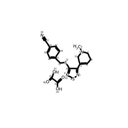 CN1CCC=C(c2nsnc2SCc2ccc(C#N)cc2)C1.O=C(O)C(=O)O